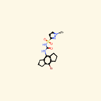 CC(C)n1ccc(S(=O)(=O)NC(=O)Nc2c3c(c(Br)c4c2CCC4)CCC3)n1